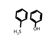 Cc1ccccc1.Oc1ccccc1.S